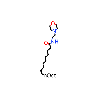 CCCCCCCC/C=C\CCCCCCCC(=O)NCCN1CCOCC1